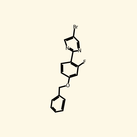 Fc1cc(OCc2ccccc2)ccc1-c1ncc(Br)cn1